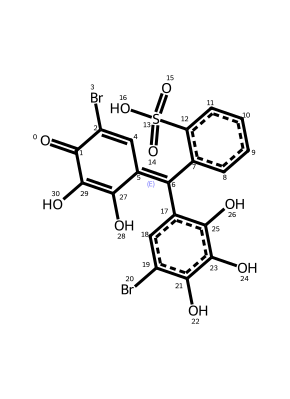 O=C1C(Br)=C/C(=C(\c2ccccc2S(=O)(=O)O)c2cc(Br)c(O)c(O)c2O)C(O)=C1O